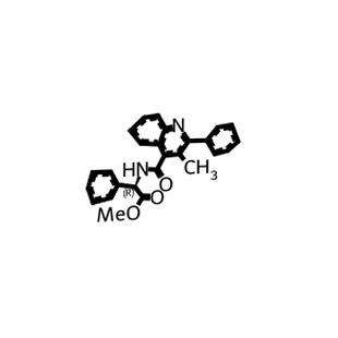 COC(=O)[C@H](NC(=O)c1c(C)c(-c2ccccc2)nc2ccccc12)c1ccccc1